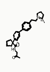 CC(=O)CNC(=O)C1(c2ccc(-c3ccc(CCN4CCC[C@H]4C)cc3)cc2)CCCC1